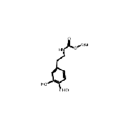 CC(C)(C)OC(=O)NCCc1ccc(C=O)c(O)c1